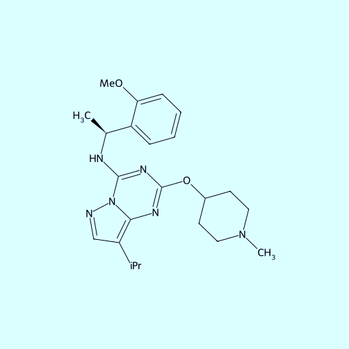 COc1ccccc1[C@H](C)Nc1nc(OC2CCN(C)CC2)nc2c(C(C)C)cnn12